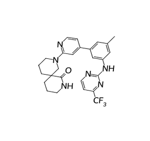 Cc1cc(Nc2nccc(C(F)(F)F)n2)cc(-c2ccnc(N3CCCC4(CCCNC4=O)C3)c2)c1